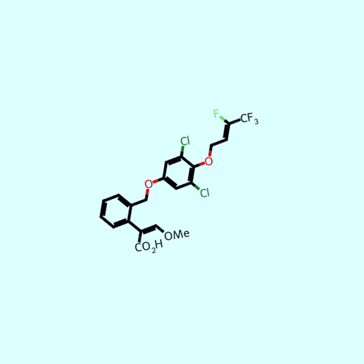 COC=C(C(=O)O)c1ccccc1COc1cc(Cl)c(OCC=C(F)C(F)(F)F)c(Cl)c1